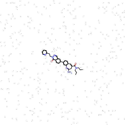 CCCN(CCC)C(=O)C1=Cc2ccc(-c3ccc4c(=O)n(CCc5ccccn5)ncc4c3)cc2N=C(N)C1